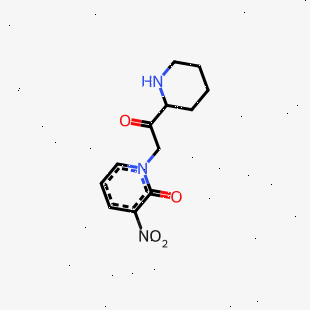 O=C(Cn1cccc([N+](=O)[O-])c1=O)C1CCCCN1